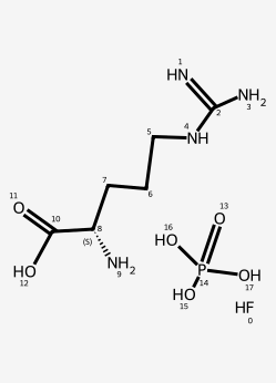 F.N=C(N)NCCC[C@H](N)C(=O)O.O=P(O)(O)O